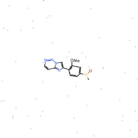 COc1cc([S+](C)[O-])ccc1-c1cn2nnccc2n1